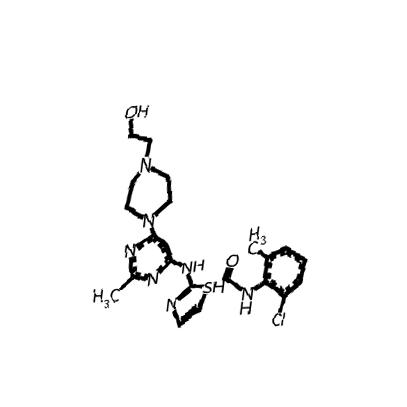 Cc1nc(NC2=NC=C[SH]2C(=O)Nc2c(C)cccc2Cl)cc(N2CCN(CCO)CC2)n1